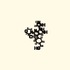 C[C@@H]1COCCN1c1cc(C2CCC(CO)CC2)c(C=N)c(Nc2ccn[nH]2)n1